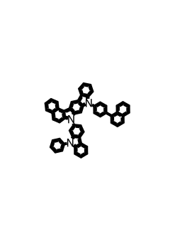 c1ccc(-n2c3ccccc3c3ccc(-n4c5cc6c(cc5c5c7ccccc7ccc54)c4ccccc4n6-c4ccc(-c5cccc6ccccc56)cc4)cc32)cc1